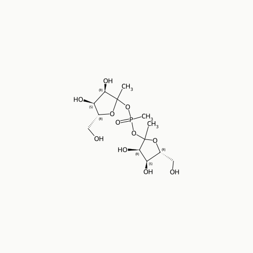 CC1(OP(C)(=O)OC2(C)O[C@H](CO)[C@@H](O)[C@H]2O)O[C@H](CO)[C@@H](O)[C@H]1O